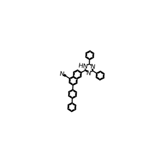 N#Cc1cc(-c2ccc(-c3ccccc3)cc2)cc2cc(C3=NC(c4ccccc4)=NC(c4ccccc4)N3)ccc12